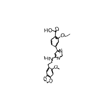 CCOc1cc(-c2cc(NCCc3cc4c(cc3OC)OCO4)ncn2)ccc1C(=O)O